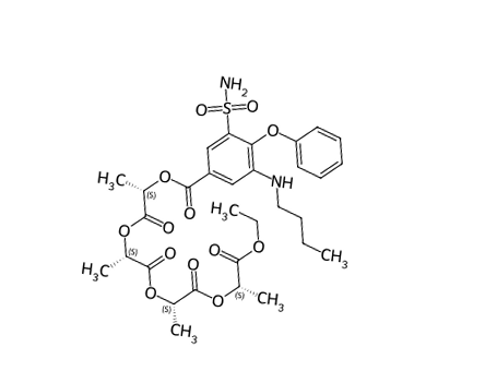 CCCCNc1cc(C(=O)O[C@@H](C)C(=O)O[C@@H](C)C(=O)O[C@@H](C)C(=O)O[C@@H](C)C(=O)OCC)cc(S(N)(=O)=O)c1Oc1ccccc1